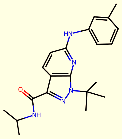 Cc1cccc(Nc2ccc3c(C(=O)NC(C)C)nn(C(C)(C)C)c3n2)c1